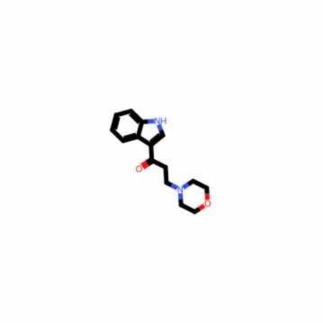 O=C(CCN1CCOCC1)c1c[nH]c2ccccc12